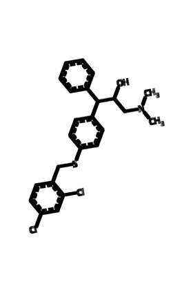 CN(C)CC(O)C(c1ccccc1)c1ccc(SCc2ccc(Cl)cc2Cl)cc1